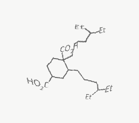 CCC(CC)CCCC1CC(C(=O)O)CCC1(CCCC(CC)CC)C(=O)O